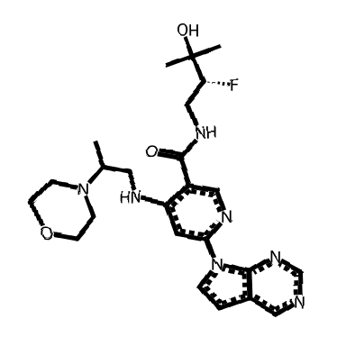 CC(CNc1cc(-n2ccc3cncnc32)ncc1C(=O)NC[C@@H](F)C(C)(C)O)N1CCOCC1